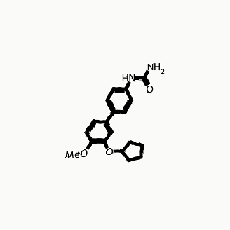 COc1ccc(-c2ccc(NC(N)=O)cc2)cc1OC1CCCC1